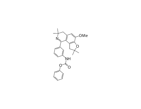 COc1cc2c(c3c1OC(C)(C)C3)C(c1cccc(NC(=O)Oc3ccccc3)c1)=NC(C)(C)C2